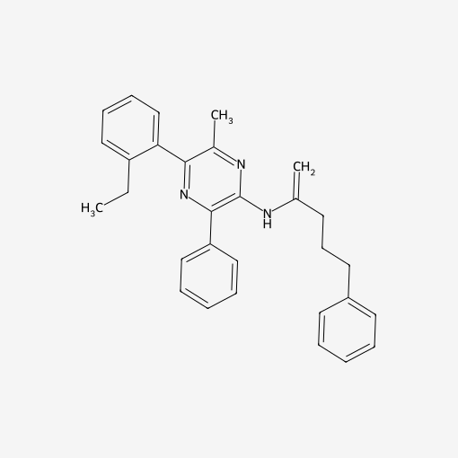 C=C(CCCc1ccccc1)Nc1nc(C)c(-c2ccccc2CC)nc1-c1ccccc1